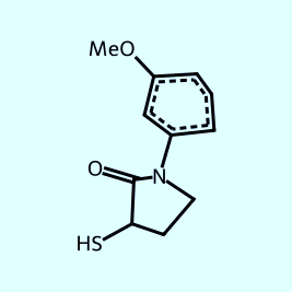 COc1cccc(N2CCC(S)C2=O)c1